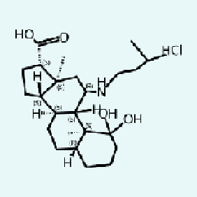 CC(C)CCN[C@@H]1C[C@]2(C)[C@@H](C(=O)O)CC[C@H]2[C@@H]2CC[C@H]3CCCC(O)(O)[C@]3(C)[C@H]21.Cl